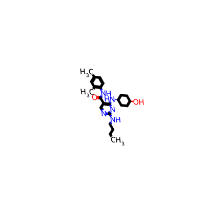 CCCCNc1ncc(C(=O)Nc2ccc(C)cc2C)c(N[C@H]2CC[C@H](O)CC2)n1